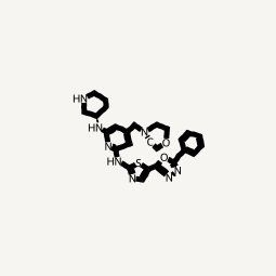 c1ccc(-c2nnc(-c3cnc(Nc4cc(CN5CCOCC5)cc(N[C@H]5CCCNC5)n4)s3)o2)cc1